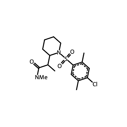 CNC(=O)C(C)C1CCCCN1S(=O)(=O)c1cc(C)c(Cl)cc1C